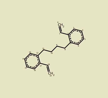 C=Cc1ccccc1CCCCc1ccccc1C=C